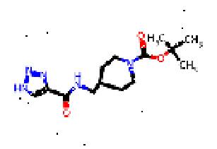 CC(C)(C)OC(=O)N1CCC(CNC(=O)c2c[nH]nn2)CC1